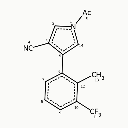 CC(=O)n1cc(C#N)c(-c2cccc(C(F)(F)F)c2C)c1